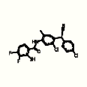 Cc1cc(C(C#N)c2ccc(Cl)cc2)c(Cl)cc1NC(=O)c1ccc(F)c(F)c1S